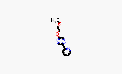 COCCOc1cnc(-c2ccccn2)cn1